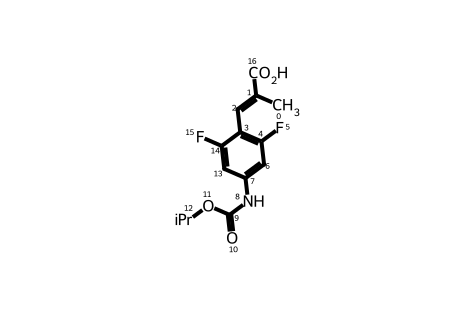 CC(=Cc1c(F)cc(NC(=O)OC(C)C)cc1F)C(=O)O